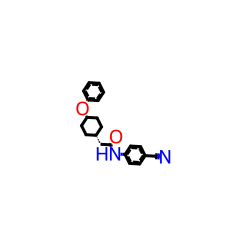 N#Cc1ccc(NC(=O)C[C@H]2CC[C@H](Oc3ccccc3)CC2)cc1